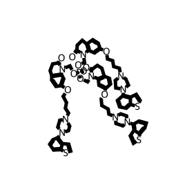 O=C1CCc2ccc(OCCCCN3CCN(c4cccc5sccc45)CC3)cc2N1COP(=O)(OCN1C(=O)CCc2ccc(OCCCCN3CCN(c4cccc5sccc45)CC3)cc21)OCN1C(=O)CCc2ccc(OCCCCN3CCN(c4cccc5sccc45)CC3)cc21